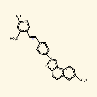 O=[N+]([O-])c1ccc(/C=C/c2ccc(-n3nc4ccc5cc(S(=O)(=O)O)ccc5c4n3)cc2)c(S(=O)(=O)O)c1